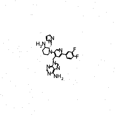 Nc1ncnc2c1ncn2Cc1cc(-c2ccc(F)c(F)c2)ncc1N1CCC[C@@H](N)[C@@H]1Cn1cccn1